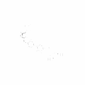 CCC1(CO)CCC(c2ccc(-c3ccc(Nc4nnc(C5CCC5)o4)cc3)cc2)CC1